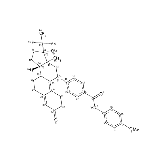 COc1ccc(NC(=O)c2ccc([C@H]3CC4(C)[C@@H](CC[C@@]4(O)C(F)(F)C(F)(F)F)C4CCC5=CC(=O)CCC5=C43)cc2)cc1